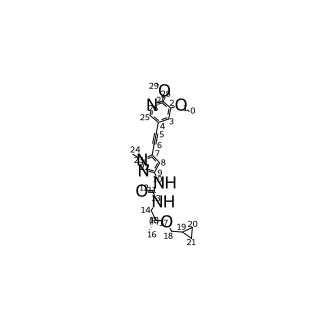 COc1cc(C#Cc2cc(NC(=O)NC[C@@H](C)OCC3CC3)nn2C)cnc1OC